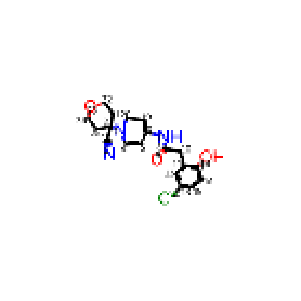 N#CC1(N2C=CC(NC(=O)Cc3cc(Cl)ccc3O)=CC2)CCOCC1